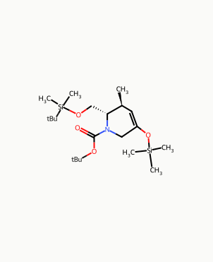 C[C@H]1C=C(O[Si](C)(C)C)CN(C(=O)OC(C)(C)C)[C@@H]1CO[Si](C)(C)C(C)(C)C